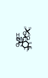 CC1(C)CCC(NC(=O)OC(C)(C)C)(C(=O)O)CC1